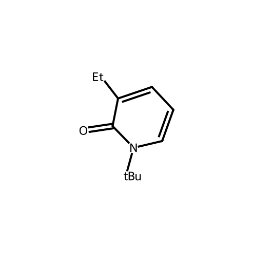 CCc1cccn(C(C)(C)C)c1=O